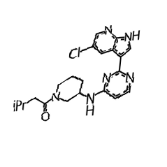 CC(C)CC(=O)N1CCCC(Nc2ccnc(-c3c[nH]c4ncc(Cl)cc34)n2)C1